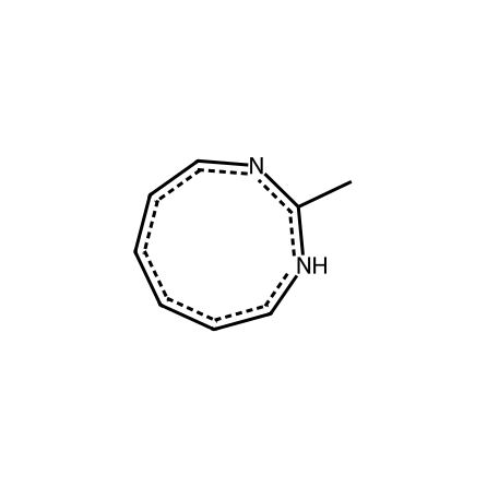 Cc1ncccccc[nH]1